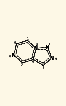 c1cn2nncc2cn1